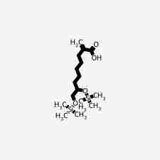 C=C(CCCCCC(CO[Si](C)(C)C)O[Si](C)(C)C)C(=O)O